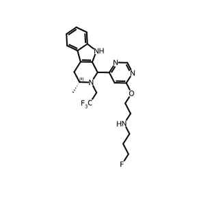 C[C@@H]1Cc2c([nH]c3ccccc23)C(c2cc(OCCNCCCF)ncn2)N1CC(F)(F)F